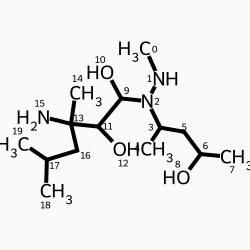 CNN(C(C)CC(C)O)C(O)C(O)C(C)(N)CC(C)C